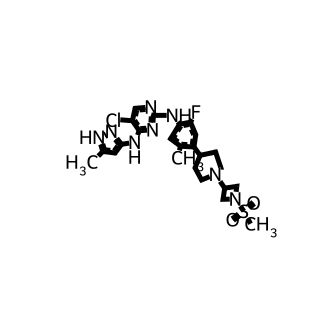 Cc1cc(Nc2nc(Nc3cc(C)c(C4CCN(C5CN(S(C)(=O)=O)C5)CC4)cc3F)ncc2Cl)n[nH]1